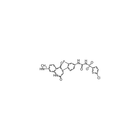 CNc1ccc2c(=O)c(-c3ccc(NC(=O)NS(=O)(=O)c4ccc(Cl)s4)cc3F)cc(=O)[nH]c2c1